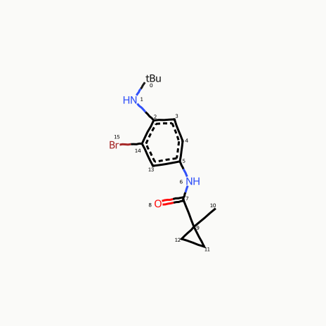 CC(C)(C)Nc1ccc(NC(=O)C2(C)CC2)cc1Br